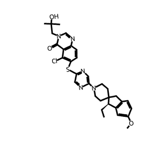 CC[C@@H]1c2cc(OC)ccc2CC12CCN(c1cnc(Sc3ccc4ncn(CC(C)(C)O)c(=O)c4c3Cl)cn1)CC2